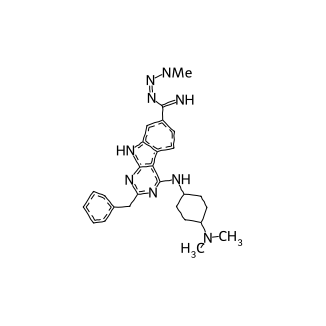 CN/N=N\C(=N)c1ccc2c(c1)[nH]c1nc(Cc3ccccc3)nc(NC3CCC(N(C)C)CC3)c12